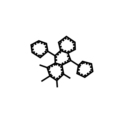 Cc1c(C)c(C)c2c(-c3ccccc3)c3ccccc3c(-c3ccccc3)c2c1C